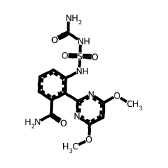 COc1cc(OC)nc(-c2c(NS(=O)(=O)NC(N)=O)cccc2C(N)=O)n1